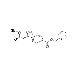 CC(=CC(=O)OC(C)(C)C)c1ccc(C(=O)OCc2ccccc2)cc1